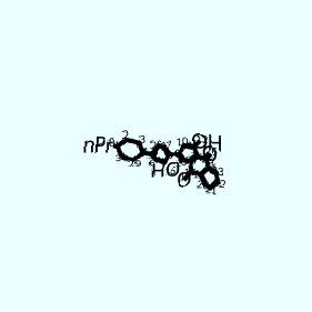 CCCC1CCC(c2ccc(-c3cc(O)c4c(c3O)C(=O)c3ccccc3C4=O)cc2)CC1